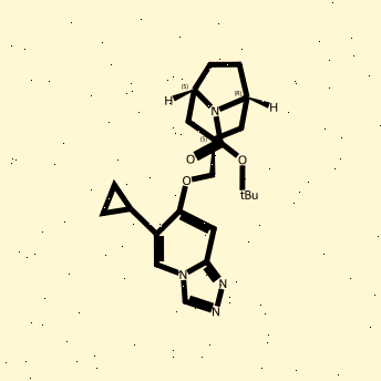 CC(C)(C)OC(=O)N1[C@@H]2CC[C@H]1C[C@H](COc1cc3nncn3cc1C1CC1)C2